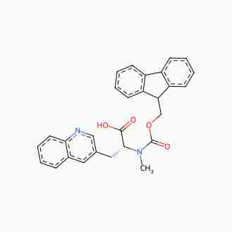 CN(C(=O)OCC1c2ccccc2-c2ccccc21)[C@H](Cc1cnc2ccccc2c1)C(=O)O